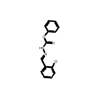 O=C(NN=Cc1ccccc1Cl)Oc1ccccc1